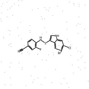 N#Cc1ccc(NSc2c[nH]c3cc(Cl)c(Br)cc23)c(F)c1